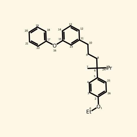 CCOc1ccc(C(C)(CCCc2cccc(Oc3ccccc3)c2)C(C)C)cc1